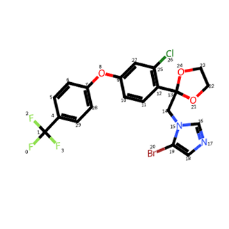 FC(F)(F)c1ccc(Oc2ccc(C3(Cn4cncc4Br)OCCO3)c(Cl)c2)cc1